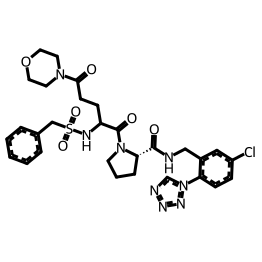 O=C(NCc1cc(Cl)ccc1-n1cnnn1)[C@@H]1CCCN1C(=O)C(CCC(=O)N1CCOCC1)NS(=O)(=O)Cc1ccccc1